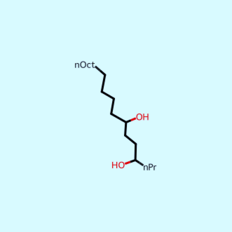 CCCCCCCCCCCCC(O)CCC(O)CCC